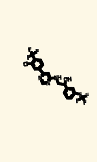 OC(CNc1cc(-c2ccc(C(F)(F)F)c(Cl)c2)ncn1)c1cccc(SC(F)(F)F)c1